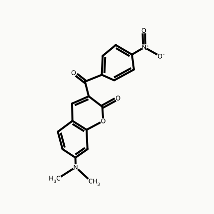 CN(C)c1ccc2cc(C(=O)c3ccc([N+](=O)[O-])cc3)c(=O)oc2c1